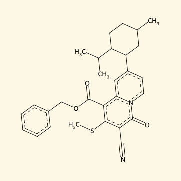 CSc1c(C#N)c(=O)n2ccc(C3CC(C)CCC3C(C)C)cc2c1C(=O)OCc1ccccc1